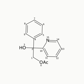 CC(=O)OCC(O)(c1ccccc1)c1ccccn1